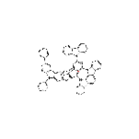 c1ccc(-c2ccc3c(c2)c2cc(-c4cccc(-n5c6ccccc6c6ccc7c8ccccc8n(-c8nc(-c9ccccc9)cc(-n9c%10ccccc%10c%10ccccc%109)n8)c7c65)n4)ccc2n3-c2ccccc2)cc1